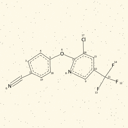 N#Cc1ccc(Oc2ncc(C(F)(F)F)cc2Cl)cc1